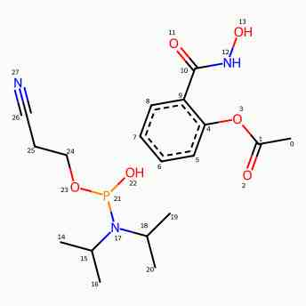 CC(=O)Oc1ccccc1C(=O)NO.CC(C)N(C(C)C)P(O)OCCC#N